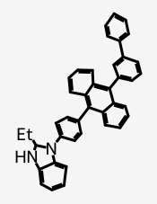 CCC1Nc2ccccc2N1c1ccc(-c2c3ccccc3c(-c3cccc(-c4ccccc4)c3)c3ccccc23)cc1